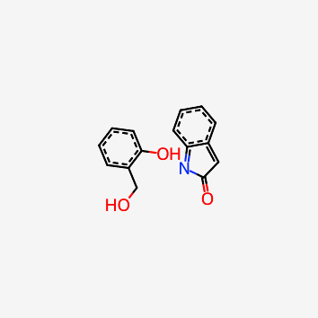 O=C1C=c2ccccc2=N1.OCc1ccccc1O